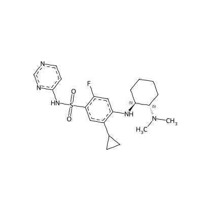 CN(C)[C@H]1CCCC[C@@H]1Nc1cc(F)c(S(=O)(=O)Nc2ccncn2)cc1C1CC1